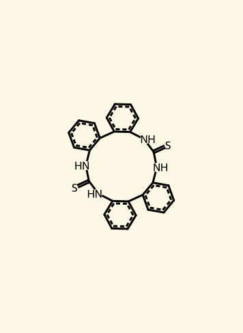 S=C1Nc2ccccc2-c2ccccc2NC(=S)Nc2ccccc2-c2ccccc2N1